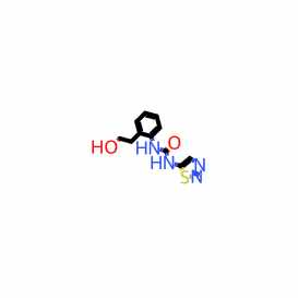 O=C(Nc1cnns1)Nc1ccccc1CCO